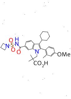 COc1ccc(-c2c(C3CCCCC3)c3ccc(C(=O)NS(=O)(=O)N4CCC4)cc3n2CC(C)(C)C(=O)O)c(C)c1